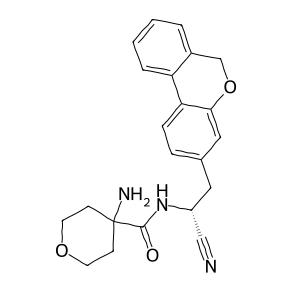 N#C[C@@H](Cc1ccc2c(c1)OCc1ccccc1-2)NC(=O)C1(N)CCOCC1